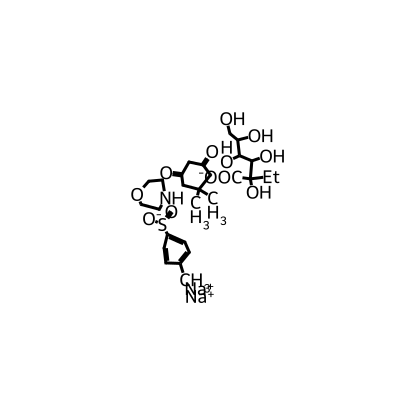 C1COCCN1.CC1(C)CC(=O)CC(=O)C1.CCC(O)(C(=O)[O-])C(O)C(O)C(O)CO.Cc1ccc(S(=O)[O-])cc1.[Na+].[Na+]